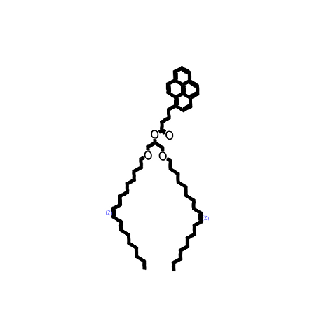 CCCCCCCC/C=C\CCCCCCCCOCC(COCCCCCCCC/C=C\CCCCCCCC)OC(=O)CCCc1ccc2ccc3cccc4ccc1c2c34